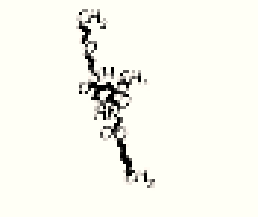 CCC=CCCOC(=O)CNC(=O)c1ncc(C(=O)NCCCOCCCC)cc1OC